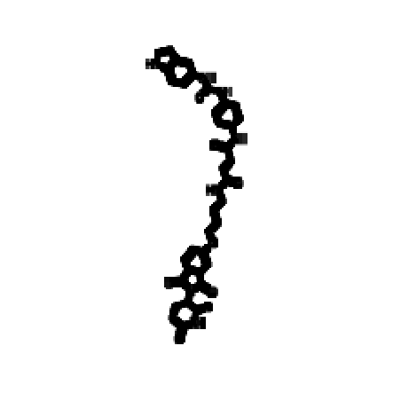 O=C(/C=C/C(=O)Nc1ccc(NC(=O)Nc2ccc3[nH]ccc3c2)cc1)NCCCCOc1ccc2c(c1)C(=O)N(C1CCC(=O)NC1=O)C2=O